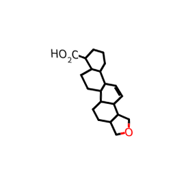 O=C(O)C1CCCC2C3C=CC4C5COCC5CCC4C3CCC12